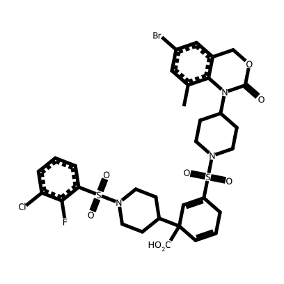 Cc1cc(Br)cc2c1N(C1CCN(S(=O)(=O)C3=CC(C(=O)O)(C4CCN(S(=O)(=O)c5cccc(Cl)c5F)CC4)C=CC3)CC1)C(=O)OC2